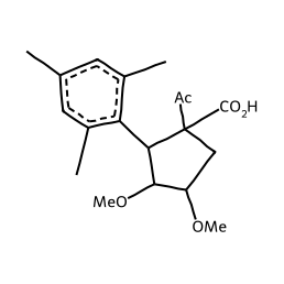 COC1CC(C(C)=O)(C(=O)O)C(c2c(C)cc(C)cc2C)C1OC